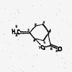 C=C1CCC2CC1OC2=O